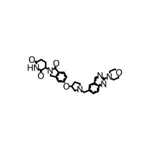 O=C1CCC(N2Cc3cc(OC4CCN(Cc5ccc6nc(N7CCOCC7)ncc6c5)C4)ccc3C2=O)C(=O)N1